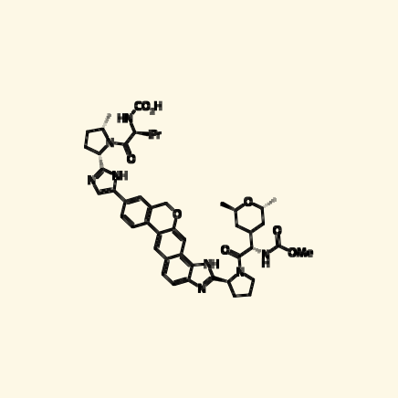 COC(=O)N[C@H](C(=O)N1CCC[C@H]1c1nc2ccc3cc4c(cc3c2[nH]1)OCc1cc(-c2cnc([C@@H]3CC[C@H](C)N3C(=O)[C@@H](NC(=O)O)C(C)C)[nH]2)ccc1-4)C1C[C@@H](C)O[C@H](C)C1